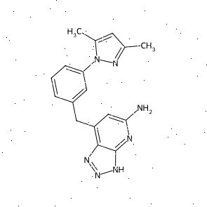 Cc1cc(C)n(-c2cccc(Cc3cc(N)nc4[nH]nnc34)c2)n1